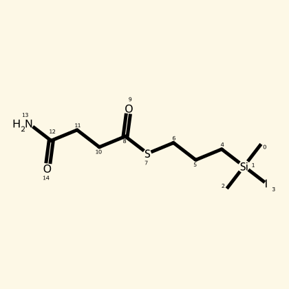 C[Si](C)(I)CCCSC(=O)CCC(N)=O